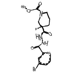 CC(C)(C)OC(=O)N1CCCC(F)(C(=O)NNC(=O)c2cc(Br)ccn2)C1